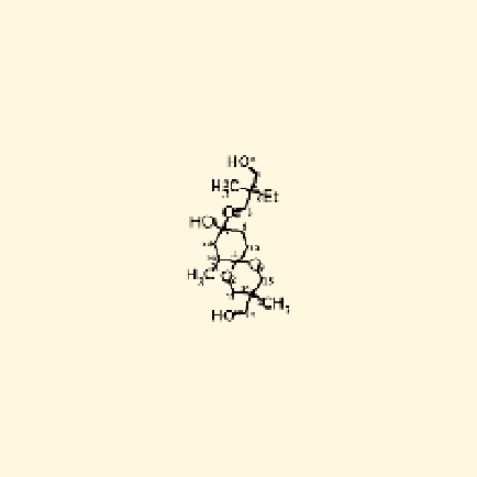 CCC(C)(CO)COC1(O)CCC2(OCC(C)(CO)CO2)C(C)C1